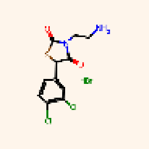 Br.NCCN1C(=O)SC(c2ccc(Cl)c(Cl)c2)C1=O